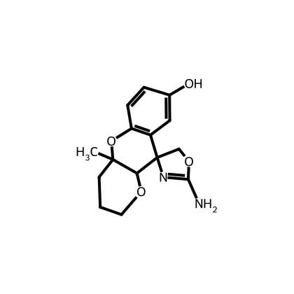 CC12CCCOC1C1(COC(N)=N1)c1cc(O)ccc1O2